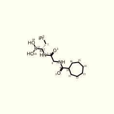 CC(C)C[C@H](NC(=O)CNC(=O)C1CCCCCC1)B(O)O